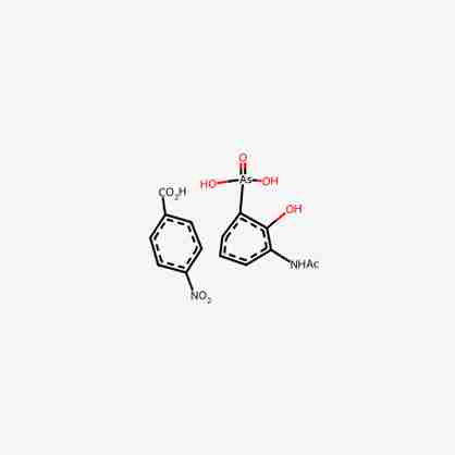 CC(=O)Nc1cccc([As](=O)(O)O)c1O.O=C(O)c1ccc([N+](=O)[O-])cc1